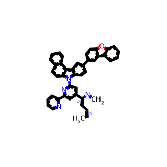 C=N/C(=C\C=C/C)c1cc(-c2ccccn2)nc(-n2c3ccc(-c4ccc5oc6ccccc6c5c4)cc3c3c4ccccc4ccc32)c1